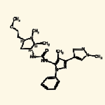 COCC[C@@H]1C[C@@H](NC(=O)Nc2c(C)c(-c3cnn(C)c3)nn2-c2ccccc2)[C@H](C)N1C